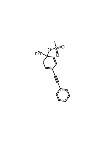 CCCC1(OS(C)(=O)=O)C=CC(C#Cc2ccccc2)=CC1